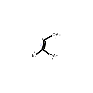 CC/C(=C/OC(C)=O)OC(C)=O